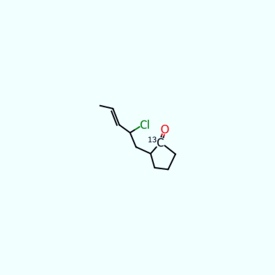 C/C=C/C(Cl)CC1CCC[13C]1=O